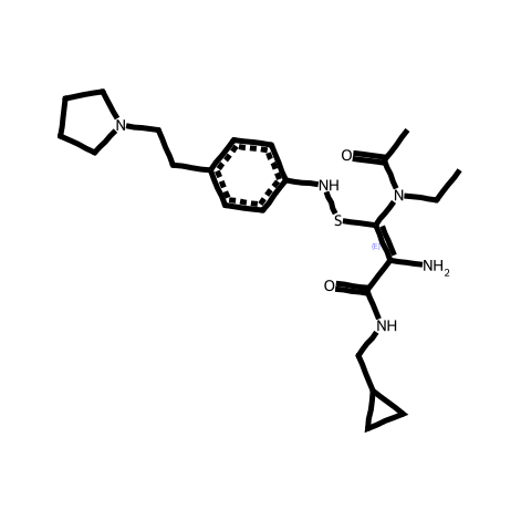 CCN(C(C)=O)/C(SNc1ccc(CCN2CCCC2)cc1)=C(\N)C(=O)NCC1CC1